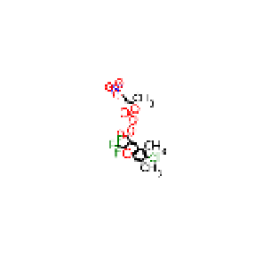 Cc1cc2c(c(C)c1Cl)C=C(C(=O)OCOC(=O)OC(C)CCO[N+](=O)[O-])C(C(F)(F)F)O2